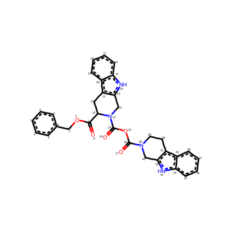 O=C(OCc1ccccc1)C1Cc2c([nH]c3ccccc23)CN1C(=O)OC(=O)N1CCc2c([nH]c3ccccc23)C1